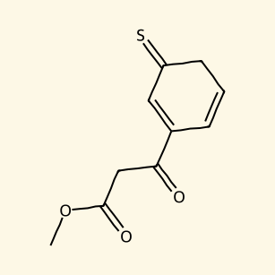 COC(=O)CC(=O)C1=CC(=S)CC=C1